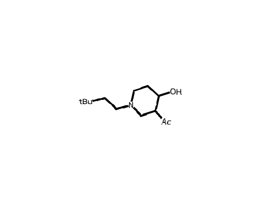 CC(=O)C1CN(CCC(C)(C)C)CCC1O